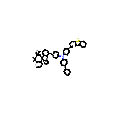 CC1(C)c2ccccc2C2(c3ccccc3-c3c(-c4ccc(N(c5ccc(-c6ccccc6)cc5)c5ccc(-c6ccc7sc8ccccc8c7c6)cc5)cc4)cccc32)c2ccccc21